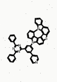 c1ccc(-c2nc(-c3ccccc3)nc(-c3cc(-c4ccncc4)cc(-n4c5ccc6sc7ccc8c9ccccc9n9c%10cccc4c%10c5c6c7c89)c3)n2)cc1